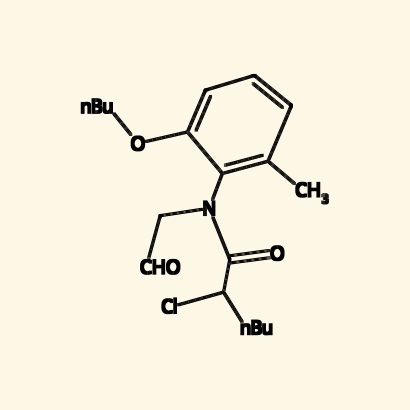 CCCCOc1cccc(C)c1N(CC=O)C(=O)C(Cl)CCCC